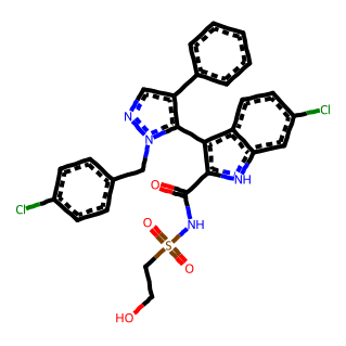 O=C(NS(=O)(=O)CCO)c1[nH]c2cc(Cl)ccc2c1-c1c(-c2ccccc2)cnn1Cc1ccc(Cl)cc1